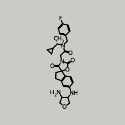 C[C@@H](C1CC1)N(Cc1ccc(F)cc1)C(=O)CN1C(=O)OC2(CCc3cc(NC4COCC4N)ccc32)C1=O